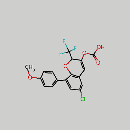 COc1ccc(-c2cc(Cl)cc3c2OC(C(F)(F)F)C(OC(=O)O)=C3)cc1